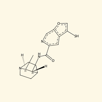 C[C@H]1[C@H](NC(=O)c2cc3c(S)coc3cn2)C2CCN1CC2